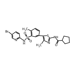 Cc1ccc(-c2sc(NC(=O)C3CCCC3)nc2C)cc1S(=O)(=O)Nc1ccc(Br)cn1